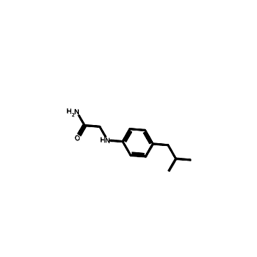 CC(C)Cc1ccc(NCC(N)=O)cc1